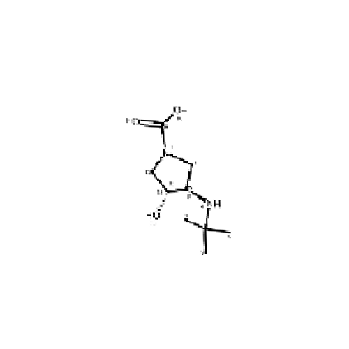 CC(C)(C)N[C@@H]1CN(C(=O)O)C[C@H]1O